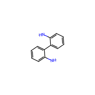 [NH]c1ccccc1-c1ccccc1[NH]